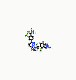 CN(C)C(=O)c1ccc(-c2ccc3nnc(C(F)(F)c4ccc5nn(C)cc5c4F)n3n2)cc1F